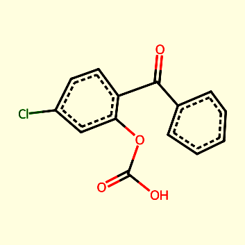 O=C(O)Oc1cc(Cl)ccc1C(=O)c1ccccc1